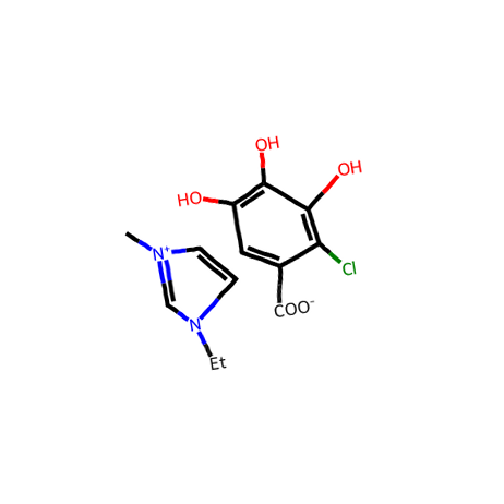 CCn1cc[n+](C)c1.O=C([O-])c1cc(O)c(O)c(O)c1Cl